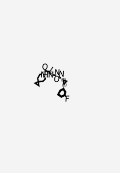 C[C@@H](Nc1nnc([C@@H]2C[C@@H]2c2cccc(F)c2)o1)C(=O)N1CCC2(CC1)CC2